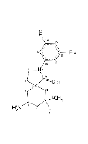 CC1(F)CC(N)CC2(CCN(c3cc(F)cc(F)c3)C2=O)C1